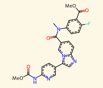 COC(=O)Nc1ccc(-c2cnc3ccc(C(=O)N(C)c4ccc(F)c(C(=O)OC)c4)cn23)cn1